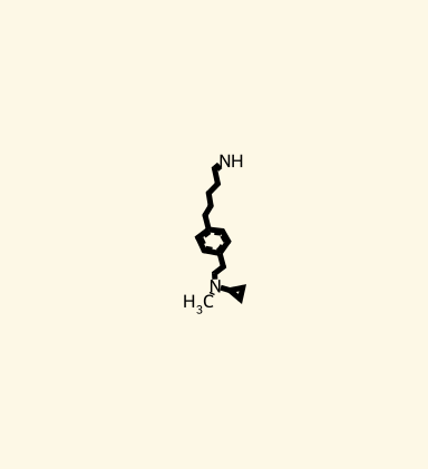 CN(CCc1ccc(CCCCC=N)cc1)C1CC1